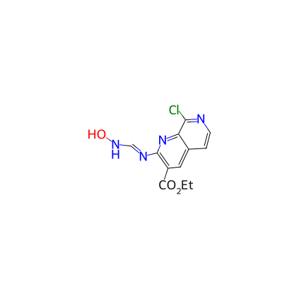 CCOC(=O)c1cc2ccnc(Cl)c2nc1/N=C/NO